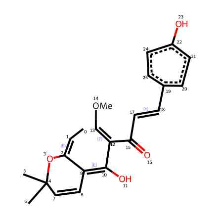 C/C=C1/OC(C)(C)C=C/C1=C(O)/C(=C/OC)C(=O)/C=C/c1ccc(O)cc1